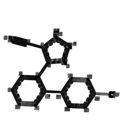 N#Cc1[nH]nnc1-c1ccccc1-c1ccc(Cl)cc1